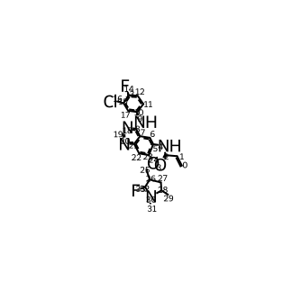 C=CC(=O)Nc1cc2c(Nc3ccc(F)c(Cl)c3)ncnc2cc1OCC1CC(C)N(C)C1F